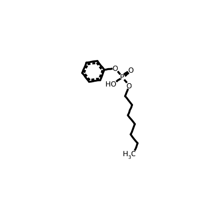 CCCCCCCOP(=O)(O)Oc1ccccc1